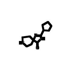 O=C1NC(C2CCCC2)=NC12CCNCC2